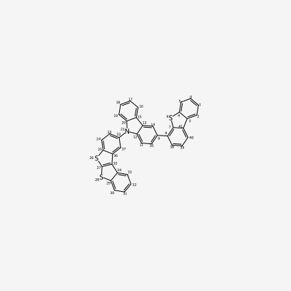 c1ccc2c(c1)sc1c(-c3ccc4c(c3)c3ccccc3n4-c3ccc4sc5sc6ccccc6c5c4c3)cccc12